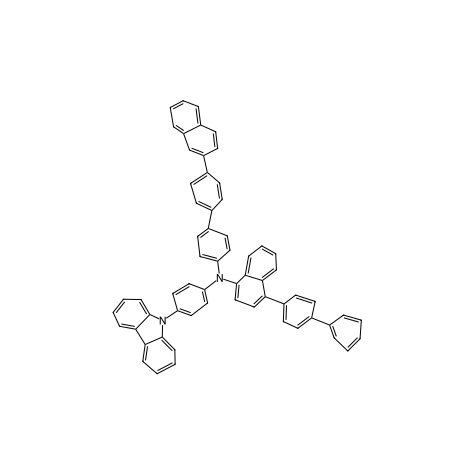 c1ccc(-c2ccc(-c3ccc(N(c4ccc(-c5ccc(-c6ccc7ccccc7c6)cc5)cc4)c4ccc(-n5c6ccccc6c6ccccc65)cc4)c4ccccc34)cc2)cc1